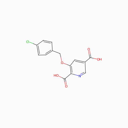 O=C(O)c1cnc(C(=O)O)c(OCc2ccc(Cl)cc2)c1